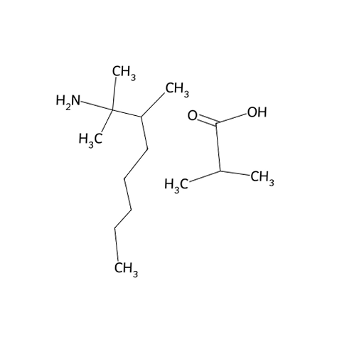 CC(C)C(=O)O.CCCCCC(C)C(C)(C)N